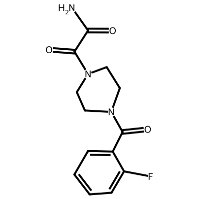 NC(=O)C(=O)N1CCN(C(=O)c2ccccc2F)CC1